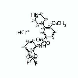 COc1ccc(S(=O)(=O)Nc2cccc3c2OC(F)(F)O3)cc1N1CCNCC1.Cl